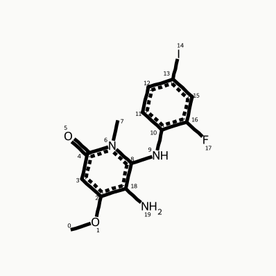 COc1cc(=O)n(C)c(Nc2ccc(I)cc2F)c1N